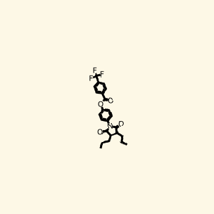 CCCC1C(=O)N(c2ccc(OC(=O)c3ccc(C(F)(F)F)cc3)cc2)C(=O)C1CCC